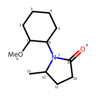 COC1CCCCC1N1C(=O)CCC1C